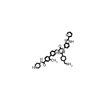 Cc1cc(C(=O)NC2CCNCC2)ccc1-c1ccc(C[C@H](NC(=O)C2CCC(CN)CC2)C(=O)Nc2ccc3[nH]c(-c4ccccn4)nc3c2)cc1